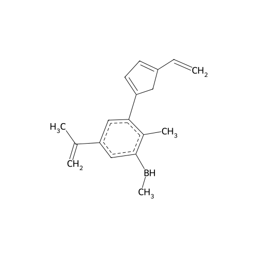 C=CC1=CC=C(c2cc(C(=C)C)cc(BC)c2C)C1